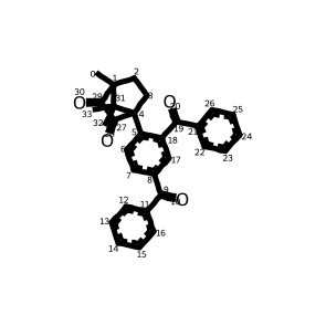 CC12CCC(c3ccc(C(=O)c4ccccc4)cc3C(=O)c3ccccc3)(C(=O)C1=O)C2(C)C